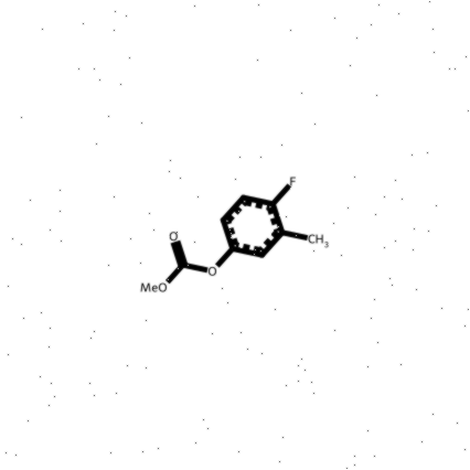 COC(=O)Oc1ccc(F)c(C)c1